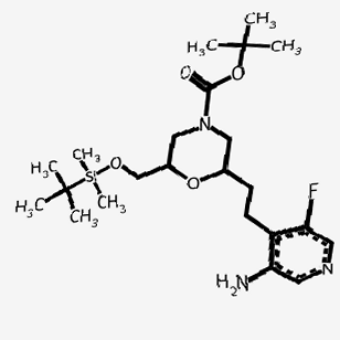 CC(C)(C)OC(=O)N1CC(CCc2c(N)cncc2F)OC(CO[Si](C)(C)C(C)(C)C)C1